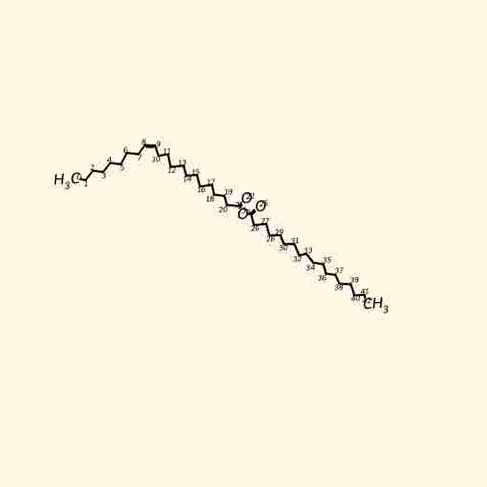 CCCCCCCC/C=C\CCCCCCCCCCCC(=O)OC(=O)CCCCCCCCCCCCCCCCC